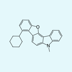 Cn1c2ccccc2c2c3oc4cccc(C5CCCCC5)c4c3ccc21